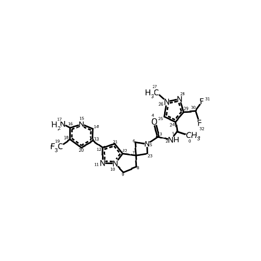 CC(NC(=O)N1CC2(CCn3nc(-c4cnc(N)c(C(F)(F)F)c4)cc32)C1)c1cn(C)nc1C(F)F